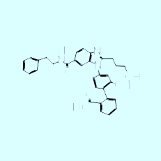 CCCCc1nc2ccc(C(=O)NCCc3ccccc3)cc2n1-c1ccc(-c2ccccc2C(=O)O)c(C)c1